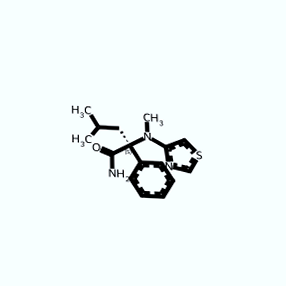 CC(C)C[C@@](C(N)=O)(c1ccccc1)N(C)c1cscn1